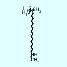 CCNCCCCCCCCCCCCCCCC[N+](C)(C)C